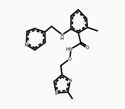 Cc1nc(CONC(=O)c2c(C)cccc2NCc2ccncc2)cs1